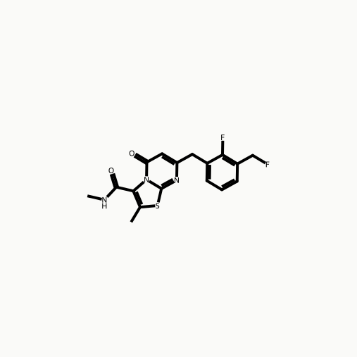 CNC(=O)c1c(C)sc2nc(Cc3cccc(CF)c3F)cc(=O)n12